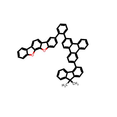 CC1(C)c2ccccc2-c2c(-c3ccc4c5ccc(-c6ccccc6-c6ccc7oc8c(ccc9c%10ccccc%10oc98)c7c6)cc5c5ccccc5c4c3)cccc21